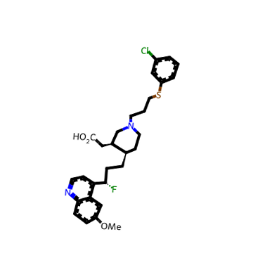 COc1ccc2nccc([C@@H](F)CC[C@@H]3CCN(CCCSc4cccc(Cl)c4)C[C@@H]3CC(=O)O)c2c1